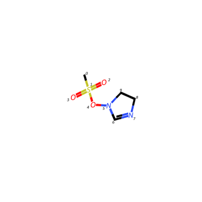 CS(=O)(=O)ON1C=NCC1